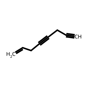 C#CCC#CCC=C